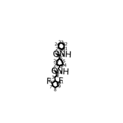 O=C(C=Cc1c(F)cccc1F)Nc1ccc(C(=O)Nc2ccccc2)cc1